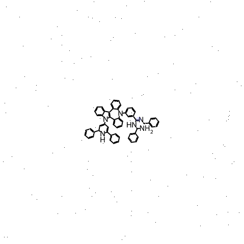 NC(N/C(=N\Cc1ccccc1)c1cccc(N2c3ccccc3-c3c(n(C4=CC(c5ccccc5)NC(c5ccccc5)=C4)c4ccccc34)-c3ccccc32)c1)c1ccccc1